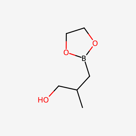 CC(CO)CB1OCCO1